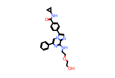 O=C(NC1CC1)c1ccc(-c2cnc3c(NCCOCCO)nc(-c4ccccc4)cn23)cc1